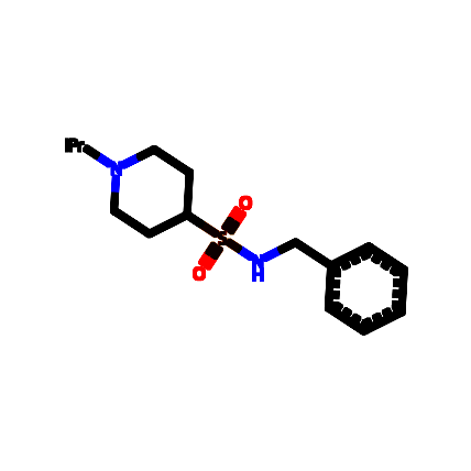 CC(C)N1CCC(S(=O)(=O)NCc2ccccc2)CC1